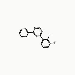 Fc1cccc(-c2ncnc(-c3ccccc3)n2)c1F